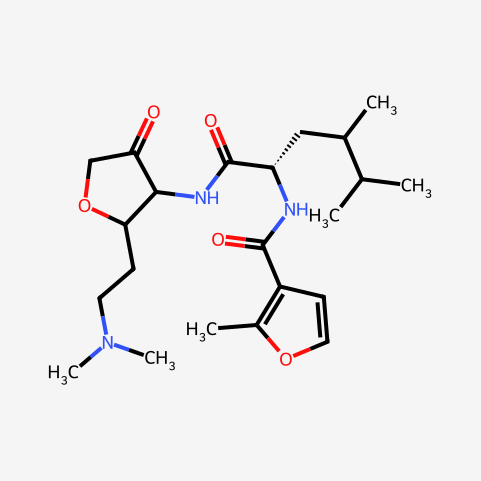 Cc1occc1C(=O)N[C@@H](CC(C)C(C)C)C(=O)NC1C(=O)COC1CCN(C)C